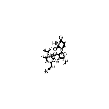 CC[C@H]1O[C@@H](n2ccc(=O)[nH]c2=O)C(OP(OCCC#N)N(C(C)C)C(C)C)[C@H]1F